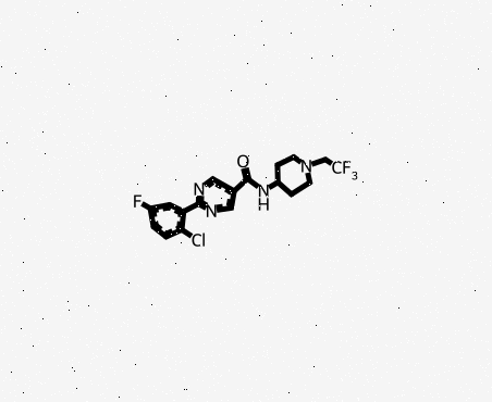 O=C(NC1CCN(CC(F)(F)F)CC1)c1cnc(-c2cc(F)ccc2Cl)nc1